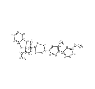 COC(=O)C1(S(=O)(=O)N2CCC(c3ccc(-c4cccc(OC)c4)c(C)c3)CC2)Cc2ccccc2C1